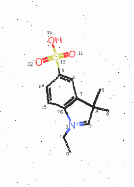 CC[N+]1=CC(C)(C)c2cc(S(=O)(=O)O)ccc21